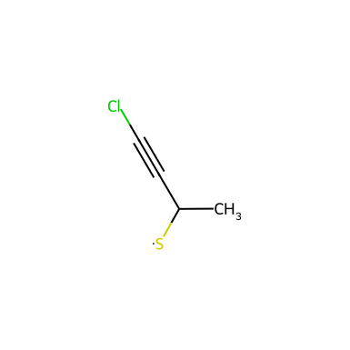 CC([S])C#CCl